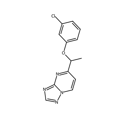 CC(Oc1cccc(Cl)c1)c1ccn2ncnc2n1